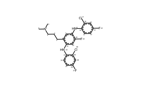 CN(C)CCCc1cc(Nc2ccc(F)cc2Cl)c(F)cc1Nc1ccc(F)cc1Cl